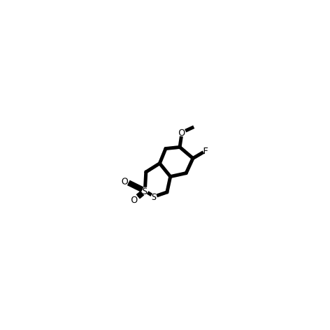 COC1CC2CS(=O)(=O)SCC2CC1F